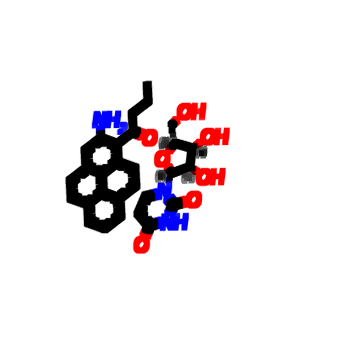 CCCC(=O)c1c(N)cc2ccc3cccc4ccc1c2c34.O=c1ccn([C@@H]2O[C@H](CO)[C@@H](O)[C@H]2O)c(=O)[nH]1